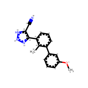 COc1cccc(-c2cccc(-c3nn[nH]c3C#N)c2C)c1